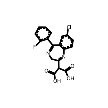 O=C(O)C(C(=O)O)C1=Nc2ccc(Cl)cc2C(c2ccccc2F)=NC1